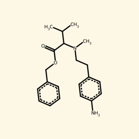 CC(C)C(C(=O)OCc1ccccc1)N(C)CCc1ccc(N)cc1